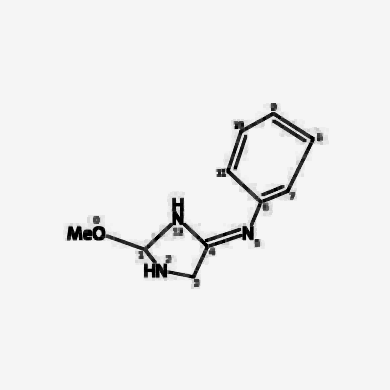 COC1NCC(=Nc2ccccc2)N1